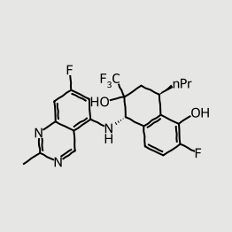 CCC[C@@H]1CC(O)(C(F)(F)F)[C@@H](Nc2cc(F)cc3nc(C)ncc23)c2ccc(F)c(O)c21